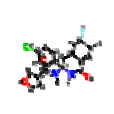 CC1C=C2C(=O)N3CCN(C(=O)c4ccoc4)C3(c3ccc(Cl)cc3)CC2=CC1F